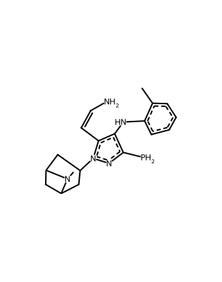 Cc1ccccc1Nc1c(P)nn(C2CC3CC(C2)N3C)c1/C=C\N